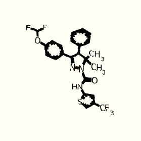 CC1(C)C(c2ccccc2)C(c2ccc(OC(F)F)cc2)=NN1C(=O)Nc1cc(C(F)(F)F)cs1